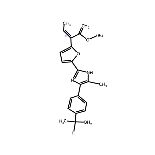 BC(C)(F)c1ccc(-c2nc(-c3ccc(/C(=C/C)C(=C)OC(C)(C)C)o3)[nH]c2C)cc1